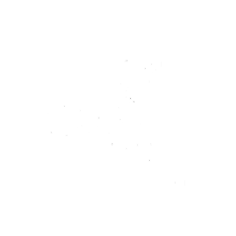 COC(=O)CCc1ccc(OCc2ccccc2)c(CNC(=O)OC(C)(C)C)c1